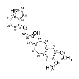 COc1cc2c(cc1OC)CCN(C[C@H](O)COc1cccc3[nH]ccc13)CC2